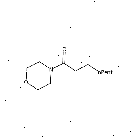 CCCCCCCC(=O)N1CCOCC1